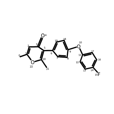 Cc1cc(=O)c(-c2ccc(Oc3ccc(F)cc3)cc2)c(C)o1